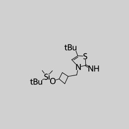 CC(C)(C)c1cn(CC2CC(O[Si](C)(C)C(C)(C)C)C2)c(=N)s1